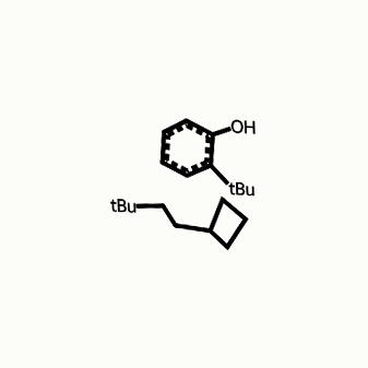 CC(C)(C)CCC1CCC1.CC(C)(C)c1ccccc1O